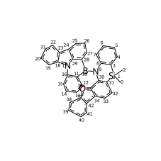 C[Si]1(C)c2ccccc2N(B2c3ccccc3-n3c4ccccc4c4cccc2c43)c2c1ccc1c2oc2ccccc21